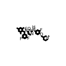 Cc1cc(C)c(C(c2cc(F)cc(F)c2)N(C(=O)O)c2ccnc(Nc3ccc(OCC4CCCN(C)C4)c(F)c3)n2)c(C)c1